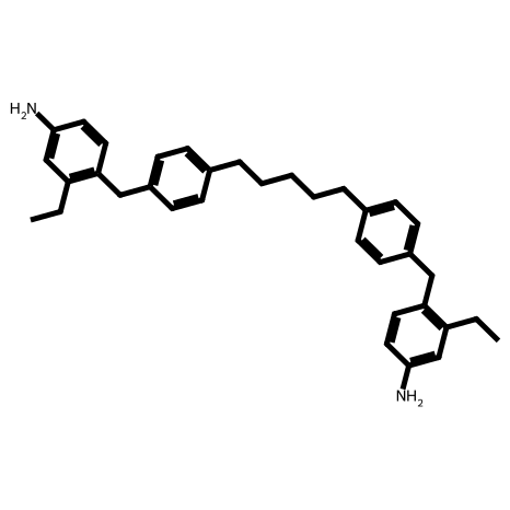 CCc1cc(N)ccc1Cc1ccc(CCCCCc2ccc(Cc3ccc(N)cc3CC)cc2)cc1